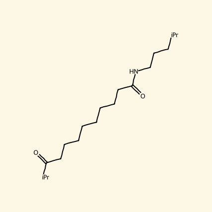 CC(C)CCCNC(=O)CCCCCCCCC(=O)C(C)C